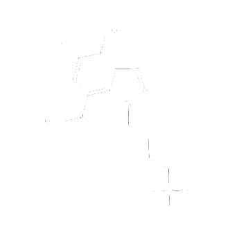 COC(=O)c1cc(Br)c(OC)c2cnn(COCC[Si](C)(C)C)c12